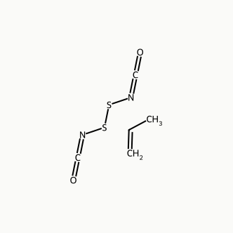 C=CC.O=C=NSSN=C=O